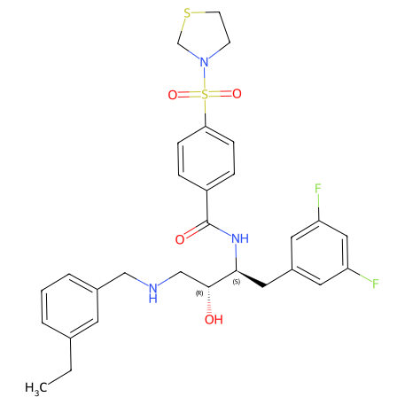 CCc1cccc(CNC[C@@H](O)[C@H](Cc2cc(F)cc(F)c2)NC(=O)c2ccc(S(=O)(=O)N3CCSC3)cc2)c1